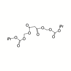 CC(C)OC(=O)OCOC(=O)CC(=O)OCOC(=O)OC(C)C